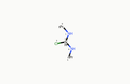 CCCN[SiH](Cl)NCCC